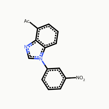 CC(=O)c1cccc2c1ncn2-c1cccc([N+](=O)[O-])c1